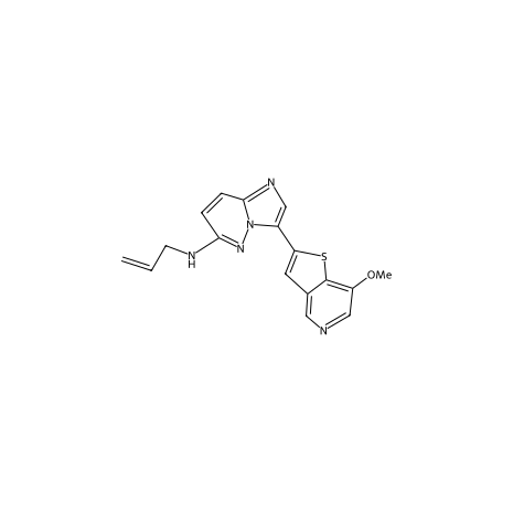 C=CCNc1ccc2ncc(-c3cc4cncc(OC)c4s3)n2n1